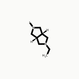 CCN1C[C@H]2CN(I)C[C@H]2C1